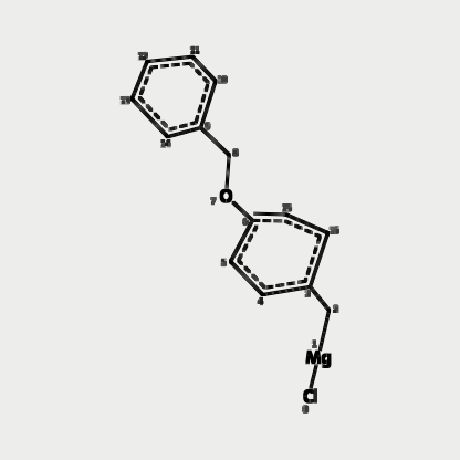 [Cl][Mg][CH2]c1ccc(OCc2ccccc2)cc1